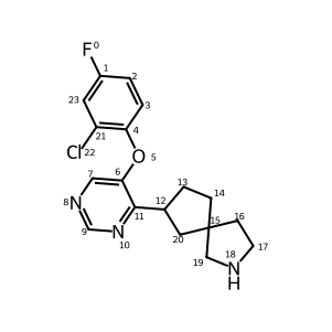 Fc1ccc(Oc2cncnc2C2CCC3(CCNC3)C2)c(Cl)c1